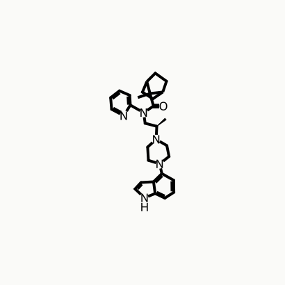 C[C@H](CN(C(=O)C1(C)C2CCC1CC2)c1ccccn1)N1CCN(c2cccc3[nH]ccc23)CC1